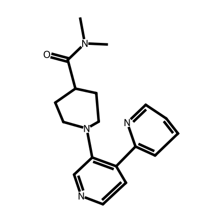 CN(C)C(=O)C1CCN(c2cnccc2-c2ccccn2)CC1